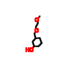 COCCOCC1CCC[C@@H](O)C1